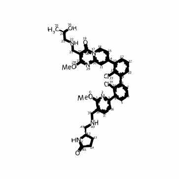 COc1nc(-c2cccc(-c3cccc(-c4ccn5c(=O)c(CNC[C@@H](C)O)c(OC)nc5c4)c3Cl)c2Cl)ccc1CNC[C@H]1CCC(=O)N1